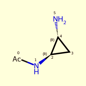 CC(=O)N[C@@H]1C[C@H]1N